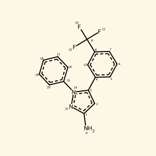 Nc1cc(-c2cccc(C(F)(F)F)c2)n(-c2ccccc2)n1